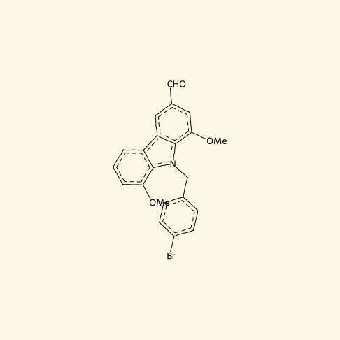 COc1cccc2c3cc(C=O)cc(OC)c3n(Cc3ccc(Br)cc3)c12